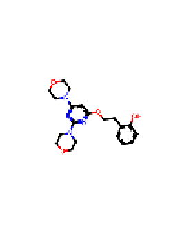 Oc1ccccc1CCOc1cc(N2CCOCC2)nc(N2CCOCC2)n1